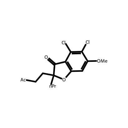 CCCC1(CCC(C)=O)Oc2cc(OC)c(Cl)c(Cl)c2C1=O